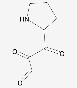 O=CC(=O)C(=O)C1CCCN1